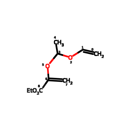 C=COC(C)OC(=C)C(=O)OCC